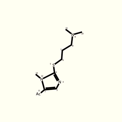 CC(=O)c1cnc(SCCCN(C)C)n1C